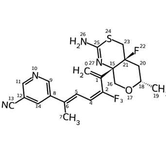 C=C(/C(F)=C\C=C(/C)c1cncc(C#N)c1)[C@]12CO[C@@H](C)C[C@@]1(F)CSC(N)=N2